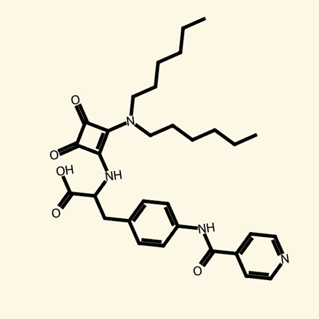 CCCCCCN(CCCCCC)c1c(NC(Cc2ccc(NC(=O)c3ccncc3)cc2)C(=O)O)c(=O)c1=O